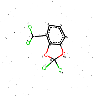 ClC(Cl)c1cccc2c1OC(Cl)(Cl)O2